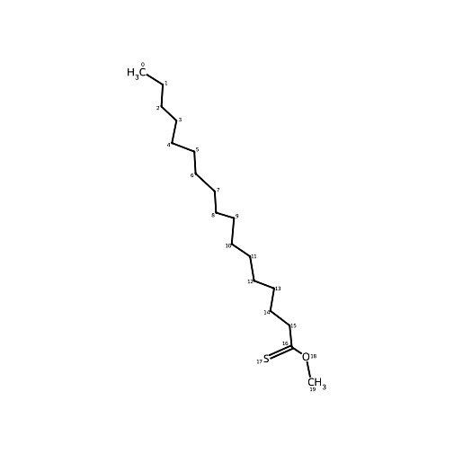 CCCCCCCCCCCCCCCCC(=S)OC